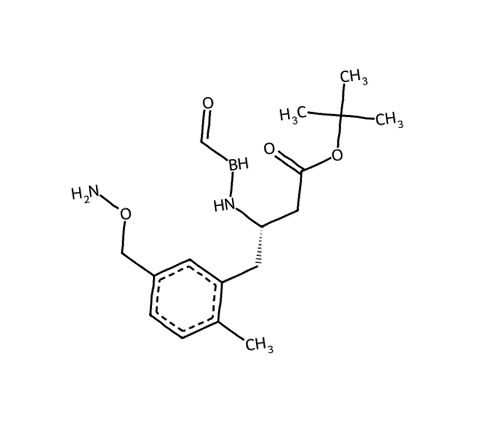 Cc1ccc(CON)cc1C[C@@H](CC(=O)OC(C)(C)C)NBC=O